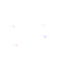 CC(C)(C)NC(=O)C(O)C(N)Cc1ccccc1.Cl